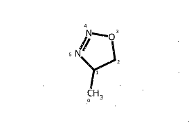 CC1CON=N1